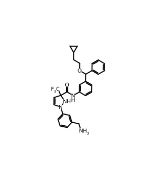 NCc1cccc(N2C=CC(C(=O)Nc3cccc(C(OCCC4CC4)c4ccccc4)c3)(C(F)(F)F)N2)c1